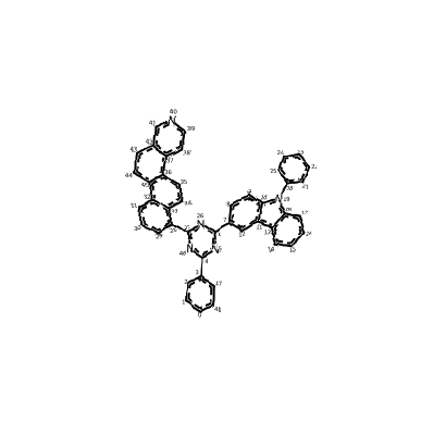 c1ccc(-c2nc(-c3ccc4c(c3)c3ccccc3n4-c3ccccc3)nc(-c3cccc4c3ccc3c5ccncc5ccc43)n2)cc1